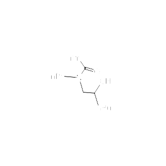 CCCCC(C)CN(CCC)C(=O)C(C)C